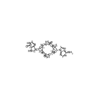 Nc1ncnc2c1ncn2[C@@H]1O[C@@H]2COP(=O)(S)O[C@H]3C[C@H]([n+]4c[nH]c5c(=O)[nH]cnc54)O[C@@H]3COP(=O)(S)O[C@H]2[C@H]1F